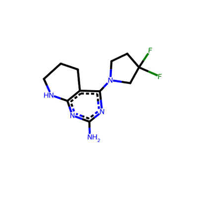 Nc1nc2c(c(N3CCC(F)(F)C3)n1)CCCN2